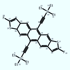 CC[Si](C#Cc1c2c(c(C#C[Si](CC)(CC)CC)c3cc4sc(F)cc4cc13)=CC1C=C(F)SC1C=2)(CC)CC